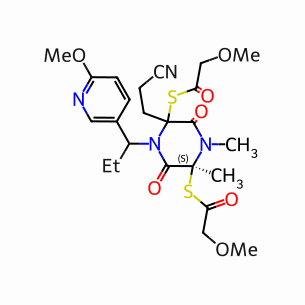 CCC(c1ccc(OC)nc1)N1C(=O)[C@](C)(SC(=O)COC)N(C)C(=O)C1(CCC#N)SC(=O)COC